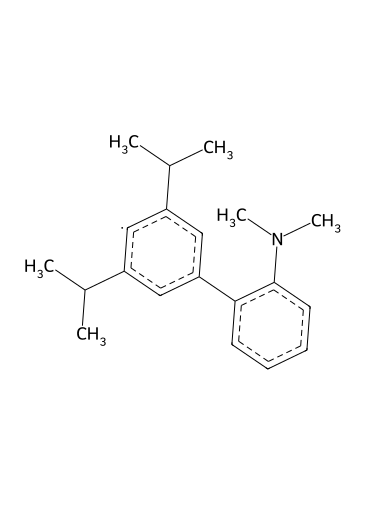 CC(C)c1[c]c(C(C)C)cc(-c2ccccc2N(C)C)c1